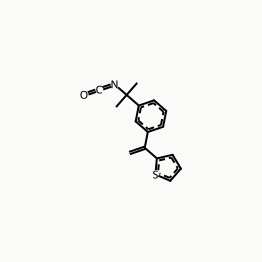 C=C(c1cccc(C(C)(C)N=C=O)c1)c1cccs1